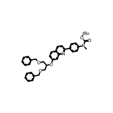 CN(C(=O)OC(C)(C)C)c1ccc(-c2ccc3ccc(OC(COCc4ccccc4)COCc4ccccc4)cc3n2)cc1